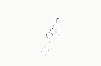 C/C=C/COc1cc2ccc(C3CCC4CC(CC)CCC4C3)cc2c(F)c1F